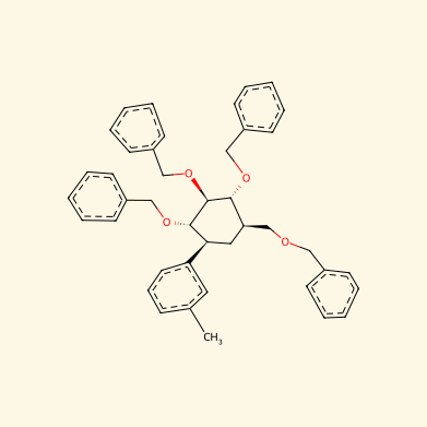 Cc1cccc([C@@H]2C[C@H](COCc3ccccc3)[C@@H](OCc3ccccc3)[C@H](OCc3ccccc3)[C@H]2OCc2ccccc2)c1